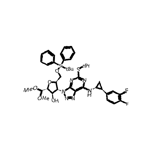 CCCSc1nc(N[C@@H]2C[C@H]2c2ccc(F)c(F)c2)c2nnn([C@@H]3[C@@H](O)[C@H](C(OC)OC)O[C@H]3CO[Si](c3ccccc3)(c3ccccc3)C(C)(C)C)c2n1